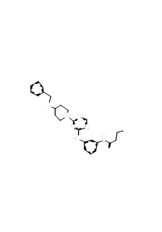 CC[C@H](C)C(=O)Nc1cccc(Nc2ncnc(N3CCC(OCc4ccccc4)CC3)n2)c1